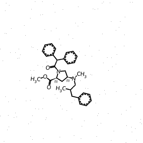 COC(=O)[C@@H]1C[C@H](N(C)CC(C)Cc2ccccc2)CN1C(=O)C(c1ccccc1)c1ccccc1